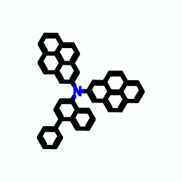 c1ccc(-c2ccc(N(c3cc4ccc5cccc6ccc(c3)c4c56)c3cc4ccc5cccc6ccc(c3)c4c56)c3ccccc23)cc1